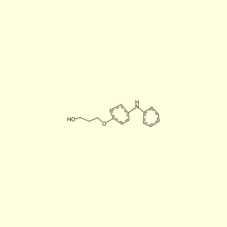 OCCCOc1ccc(Nc2ccccc2)cc1